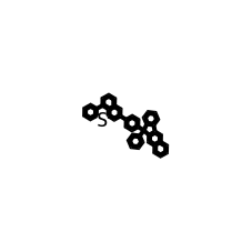 c1ccc(C2(c3ccc(-c4cc5c6c(cccc6c4)-c4ccccc4S5)cc3)c3ccccc3-c3cc4ccccc4cc32)cc1